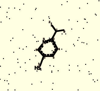 CC(I)c1ccc(S)cn1